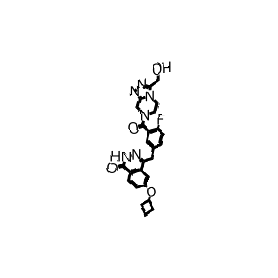 O=C(c1cc(Cc2n[nH]c(=O)c3ccc(OC4CCC4)cc23)ccc1F)N1CCn2c(CO)nnc2C1